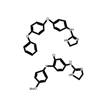 COc1ccc(Sc2ccc(NC3=NCCN3)cc2Cl)cc1.c1ccc(Oc2ccc(Oc3ccc(NC4=NCCN4)cc3)cc2)cc1